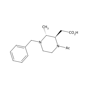 CC(=O)N1CCN(Cc2ccccc2)[C@H](C)[C@H]1CC(=O)O